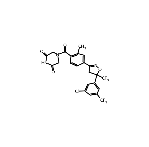 Cc1cc(C2=NOC(c3cc(Cl)cc(C(F)(F)F)c3)(C(F)(F)F)C2)ccc1C(=O)N1CC(=O)NC(=O)C1